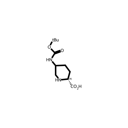 CC(C)(C)OC(=O)NC1CC[C@H](C(=O)O)NC1